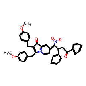 COc1ccc(CC2=C(Cc3ccc(OC)cc3)N3C=CC(=C(C(CC(=O)c4ccccc4)c4ccccc4)[N+](=O)[O-])C=C3C2=O)cc1